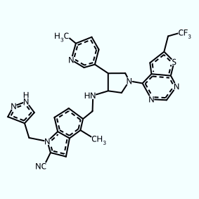 Cc1ccc(C2CN(c3ncnc4sc(CC(F)(F)F)cc34)CC2NCc2ccc3c(cc(C#N)n3Cc3cn[nH]c3)c2C)cn1